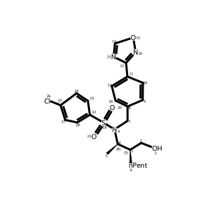 CCCCC[C@H](CO)[C@@H](C)N(Cc1ccc(-c2ncon2)cc1)S(=O)(=O)c1ccc(Cl)cc1